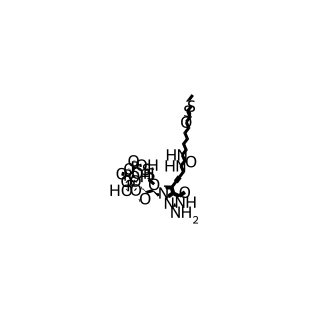 CCSSCOCCCCCNC(=O)NCC#Cc1cn(C[C@H](OCSSC)[C@@H](COP(=O)(O)OP(=O)(O)OP(=O)(O)O)OC)c2nc(N)[nH]c(=O)c12